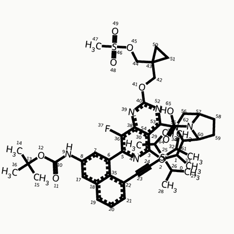 CC1Oc2nc(-c3cc(NC(=O)OC(C)(C)C)cc4cccc(C#C[Si](C(C)C)(C(C)C)C(C)C)c34)c(F)c3nc(OCC4(COS(C)(=O)=O)CC4)nc(c23)N2CC3CCC(C12)N3C(=O)O